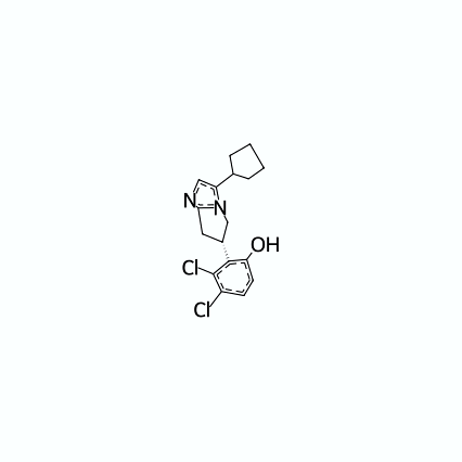 Oc1ccc(Cl)c(Cl)c1[C@@H]1Cc2ncc(C3CCCC3)n2C1